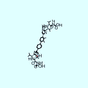 Cc1c(-c2ccc(-c3c[nH]c(C(NC(C(=O)NC(=O)O)C(C)C)C(C)C)n3)cc2)ccc(-c2c[nH]c([C@H](N[C@H](C(=O)NC(=O)O)C(C)C)C(C)C)n2)c1C